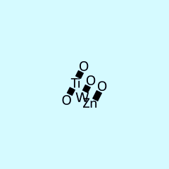 [O]=[Ti]=[O].[O]=[W].[O]=[Zn]